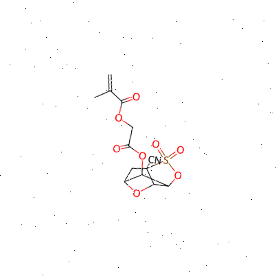 C=C(C)C(=O)OCC(=O)OC1C2CC3(C#N)C(O2)C1OS3(=O)=O